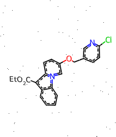 CCOC(=O)c1c2ccccc2n2cc(OCc3ccc(Cl)nc3)ccc12